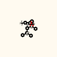 FC(F)(F)c1ccc2c3ccc(C(F)(F)F)cc3n(-c3ccc(-c4cc(-c5ccccc5)nc(-c5ccccc5)n4)cc3-c3nc(-c4ccccc4)nc(-c4ccccc4)n3)c2c1